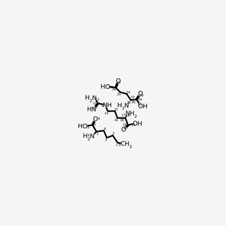 CCCCCC(N)C(=O)O.N=C(N)NCCC[C@@H](N)C(=O)O.N[C@H](CCC(=O)O)C(=O)O